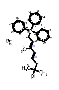 CC(/C=C/CC(C)(C)O)=C\C[P+](c1ccccc1)(c1ccccc1)c1ccccc1.[Br-]